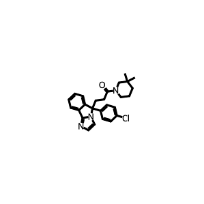 CC1(C)CCCN(C(=O)CCC2(c3ccc(Cl)cc3)c3ccccc3-c3nccn32)C1